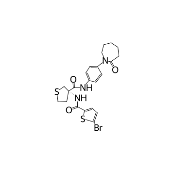 O=C(N[C@]1(C(=O)Nc2ccc(N3CCCCCC3=O)cc2)CCSC1)c1ccc(Br)s1